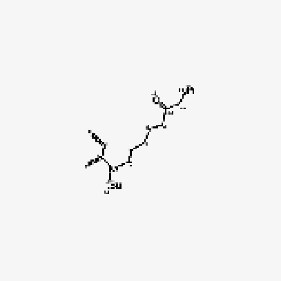 C=CC(=C)N(CCCCCC(=O)CC(C)C)C(C)(C)C